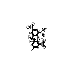 Cc1ccc(Nc2c([N+](=O)[O-])cc([N+](=O)[O-])cc2C(F)(F)F)c([N+](=O)[O-])c1